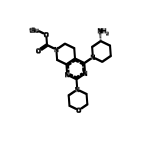 CC(C)(C)OC(=O)N1CCc2c(nc(N3CCOCC3)nc2N2CCC[C@@H](N)C2)C1